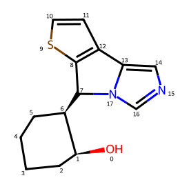 O[C@H]1CCCC[C@H]1C1c2sccc2-c2cncn21